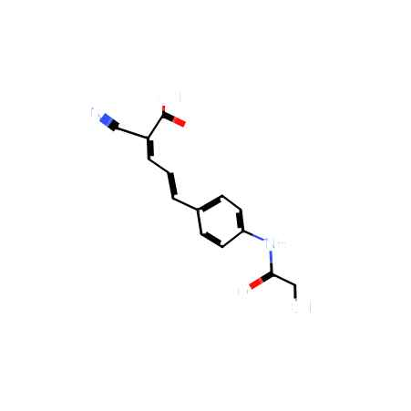 CCC(=O)Nc1ccc(C=CC=C(C#N)C(=O)O)cc1